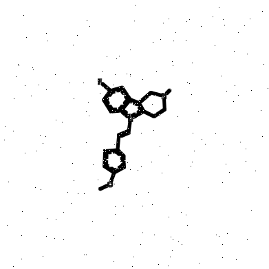 COc1ccc(C=Cn2c3c(c4cc(F)ccc42)CN(C)CC3)cc1